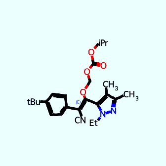 CCn1nc(C)c(C)c1/C(OCOC(=O)OC(C)C)=C(\C#N)c1ccc(C(C)(C)C)cc1